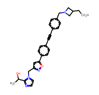 CC(O)c1nccn1Cc1cc(-c2ccc(C#Cc3ccc(CN4CC(CC(=O)O)C4)cc3)cc2)on1